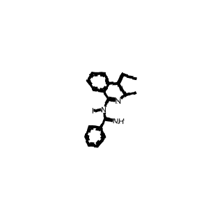 CCC1c2ccccc2C(N(I)C(=N)c2ccccc2)=NC1C